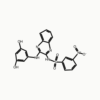 O=[N+]([O-])c1cccc(S(=O)(=O)Nc2nc3ccccc3nc2Nc2cc(O)cc(O)c2)c1